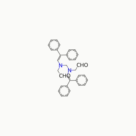 O=CCN(C=C(c1ccccc1)c1ccccc1)CN(C=C(c1ccccc1)c1ccccc1)CC=O